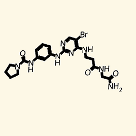 NC(=O)CNC(=O)CCNc1nc(Nc2cccc(NC(=O)N3CCCC3)c2)ncc1Br